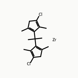 CC1=C(C(C)(C)C2=C(C)CC(Cl)=C2C)C(C)=C(Cl)C1.[Zr]